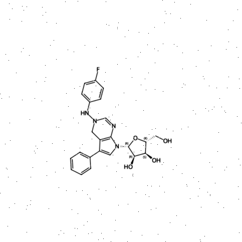 OC[C@H]1O[C@@H](n2cc(-c3ccccc3)c3c2N=CN(Nc2ccc(F)cc2)C3)[C@H](O)[C@@H]1O